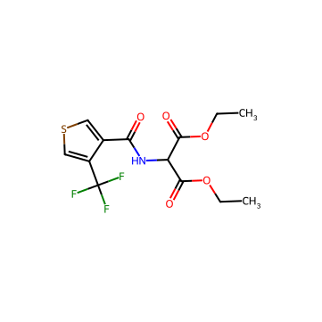 CCOC(=O)C(NC(=O)c1cscc1C(F)(F)F)C(=O)OCC